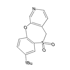 CC(C)(C)c1ccc2c(c1)S(=O)(=O)Cc1ccncc1O2